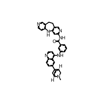 CN1C[C@@H]2CC[C@H]1C=C2c1ccc2nccc(Nc3cccc(C(=O)Nc4cc5c(cn4)CCc4cnccc4N5)c3)c2c1